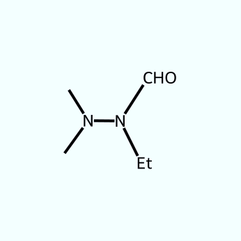 CCN(C=O)N(C)C